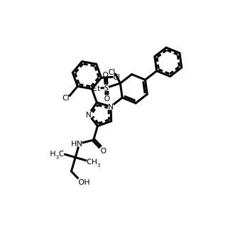 CCS(=O)(=O)C1(Cl)CC(c2ccccc2)=CC=C1n1cc(C(=O)NC(C)(C)CO)nc1-c1c(Cl)cccc1Cl